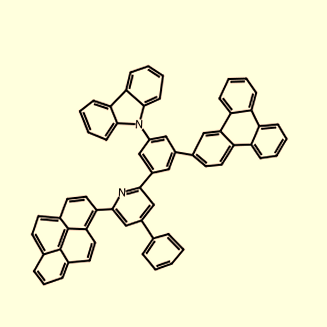 c1ccc(-c2cc(-c3cc(-c4ccc5c6ccccc6c6ccccc6c5c4)cc(-n4c5ccccc5c5ccccc54)c3)nc(-c3ccc4ccc5cccc6ccc3c4c56)c2)cc1